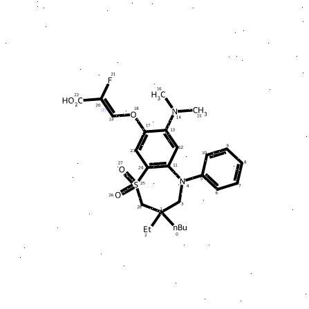 CCCCC1(CC)CN(c2ccccc2)c2cc(N(C)C)c(O/C=C(\F)C(=O)O)cc2S(=O)(=O)C1